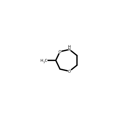 CC1COCCNO1